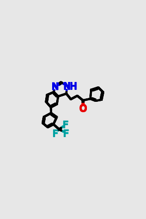 O=C(CCC1NC=Nc2ccc(-c3cccc(C(F)(F)F)c3)cc21)c1ccccc1